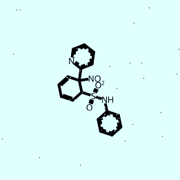 O=[N+]([O-])C1(c2ccccn2)C=CC=CC1S(=O)(=O)Nc1ccccc1